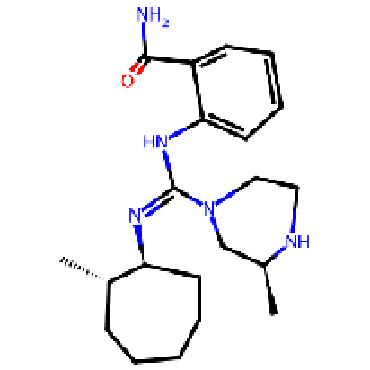 C[C@H]1CN(/C(=N\[C@H]2CCCCC[C@@H]2C)Nc2ccccc2C(N)=O)CCN1